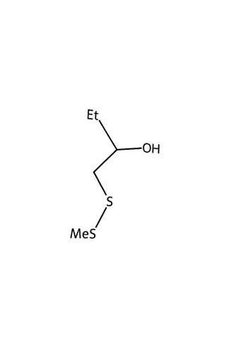 CCC(O)CSSC